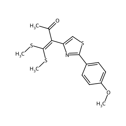 COc1ccc(-c2nc(C(C(C)=O)=C(SC)SC)cs2)cc1